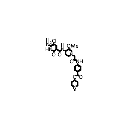 CO[C@@H]1CN(CC(=O)Nc2ccc(C(=O)OC3CCN(C)CC3)cc2)CC[C@@H]1NC(=O)c1cc(Cl)c(N)[nH]c1=O